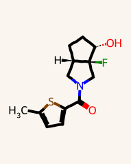 Cc1ccc(C(=O)N2C[C@@H]3CC[C@H](O)[C@]3(F)C2)s1